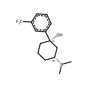 CN(C)[C@@H]1CCC[C@@](O)(c2cccc(C(F)(F)F)c2)C1